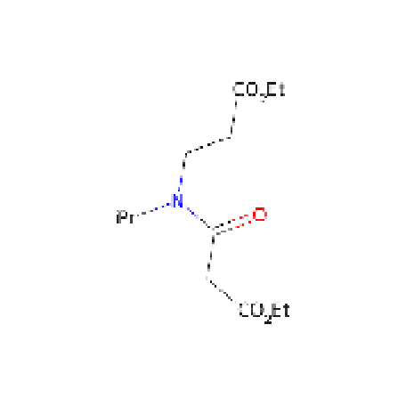 CCOC(=O)CCN(C(=O)CC(=O)OCC)C(C)C